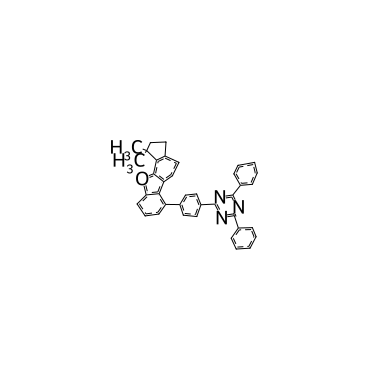 CC1(C)CCc2ccc3c(oc4cccc(-c5ccc(-c6nc(-c7ccccc7)nc(-c7ccccc7)n6)cc5)c43)c21